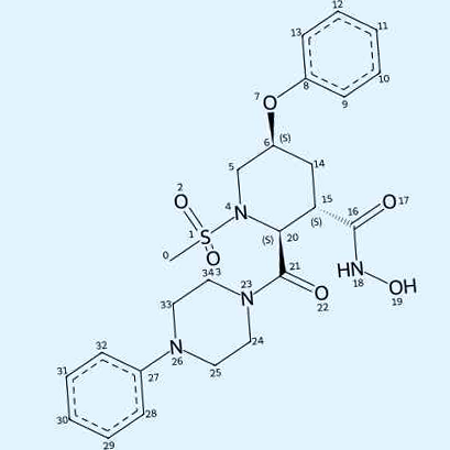 CS(=O)(=O)N1C[C@@H](Oc2ccccc2)C[C@H](C(=O)NO)[C@H]1C(=O)N1CCN(c2ccccc2)CC1